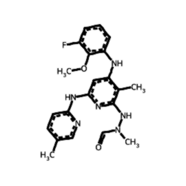 COc1c(F)cccc1Nc1cc(Nc2ccc(C)cn2)nc(NN(C)C=O)c1C